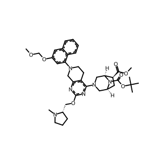 COCOc1cc(N2CCc3c(nc(OC[C@@H]4CCCN4C)nc3N3C[C@@H]4C[C@H](C(=O)OC)[C@H](C3)N4C(=O)OC(C)(C)C)C2)c2ccccc2c1